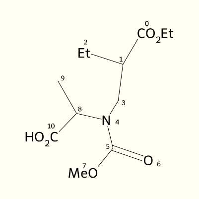 CCOC(=O)C(CC)CN(C(=O)OC)C(C)C(=O)O